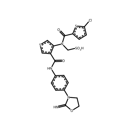 N=C1OCCN1c1ccc(NC(=O)c2cscc2N(CS(=O)(=O)O)C(=O)c2ccc(Cl)s2)cc1